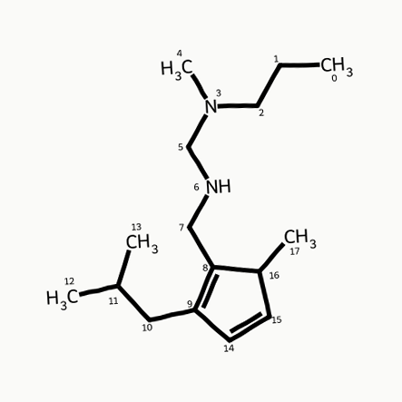 CCCN(C)CNCC1=C(CC(C)C)C=CC1C